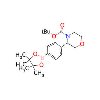 CC(C)(C)OC(=O)N1CCOCC1c1ccc(B2OC(C)(C)C(C)(C)O2)cc1